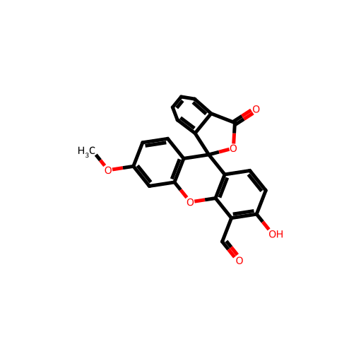 COc1ccc2c(c1)Oc1c(ccc(O)c1C=O)C21OC(=O)c2ccccc21